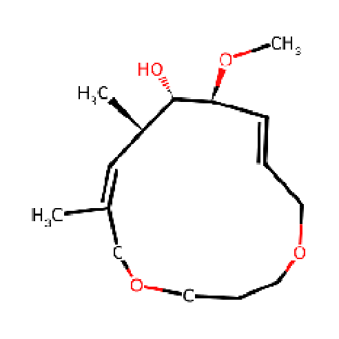 CO[C@H]1/C=C/COCCCOC/C(C)=C\[C@@H](C)[C@@H]1O